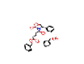 O=C(CCCC(=O)N1C(=O)OCC1c1ccccc1)OCc1ccccc1.OCc1ccccc1